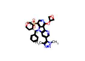 Cc1nnn(C)c1-c1cnc2c3c(OC4COC4)ncc(S(C)(=O)=O)c3n([C@H](c3ccccc3)C3CCOCC3)c2c1